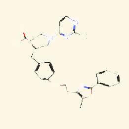 Cc1oc(-c2ccccc2)nc1CCOc1ccc(C[C@@H]2CN(c3ccnc(Cl)n3)C[C@@H]2C(=O)O)cc1